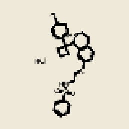 Cl.O=S(=O)(NCCOc1ccc2c(c1)C(C1(c3ccc(Cl)cc3)CCC1)NCC2)c1ccccc1